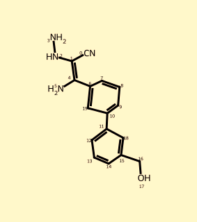 N#C/C(NN)=C(/N)c1cccc(-c2cccc(CO)c2)c1